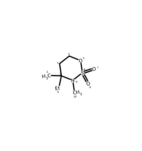 CCC1(C)CCOS(=O)(=O)N1C